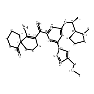 COCc1cn(-c2cc(O[C@@H](C)[C@@H]3CCCN3C)nc(C(=N)C3=C(O)[C@]4(CCCCC4=O)CCC3)n2)nn1